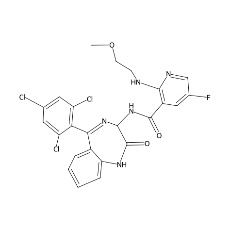 COCCNc1ncc(F)cc1C(=O)NC1N=C(c2c(Cl)cc(Cl)cc2Cl)c2ccccc2NC1=O